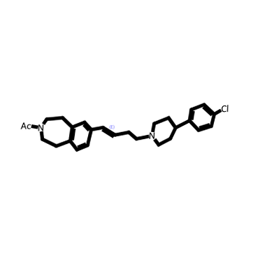 CC(=O)N1CCc2ccc(/C=C/CCN3CCC(c4ccc(Cl)cc4)CC3)cc2CC1